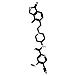 COc1cc(C(=O)NC2CCN(CCc3ccc4c(c3C)COC4=O)CC2)ncc1C#N